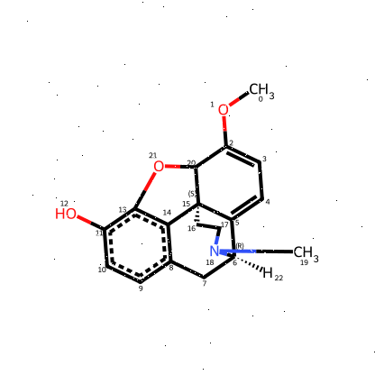 COC1=CC=C2[C@H]3Cc4ccc(O)c5c4[C@@]2(CCN3C)C1O5